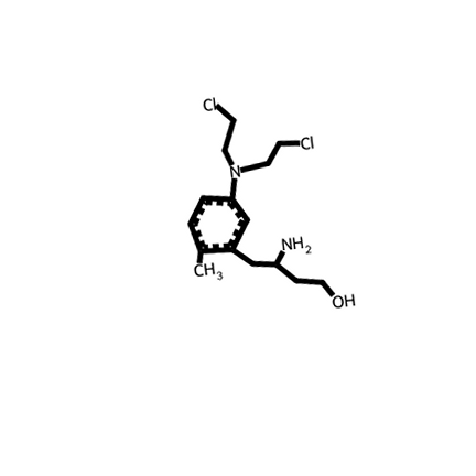 Cc1ccc(N(CCCl)CCCl)cc1CC(N)CCO